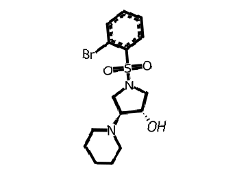 O=S(=O)(c1ccccc1Br)N1C[C@H](O)[C@@H](N2CCCCC2)C1